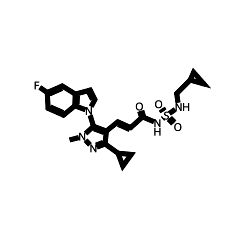 Cn1nc(C2CC2)c(C=CC(=O)NS(=O)(=O)NCC2CC2)c1-n1ccc2cc(F)ccc21